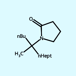 CCCCCCCC(C)(CCCC)N1CCCC1=O